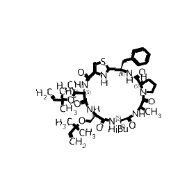 C=CC(C)(C)OC[C@H]1NC(=O)[C@H]([C@@H](C)OC(C)(C)C=C)NC(=O)C2CSC(N2)[C@@H](Cc2ccccc2)NC(=O)[C@@H]2CCCN2C(=O)C(C)NC(=O)[C@H]([C@@H](C)CC)NC1=O